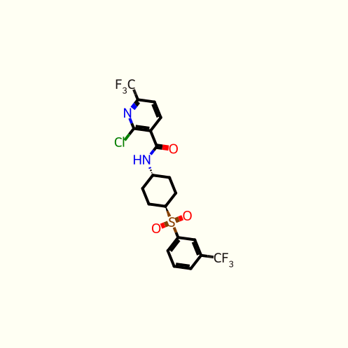 O=C(N[C@H]1CC[C@H](S(=O)(=O)c2cccc(C(F)(F)F)c2)CC1)c1ccc(C(F)(F)F)nc1Cl